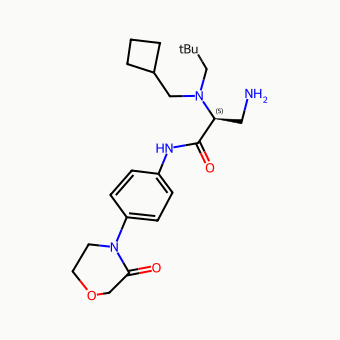 CC(C)(C)CN(CC1CCC1)[C@@H](CN)C(=O)Nc1ccc(N2CCOCC2=O)cc1